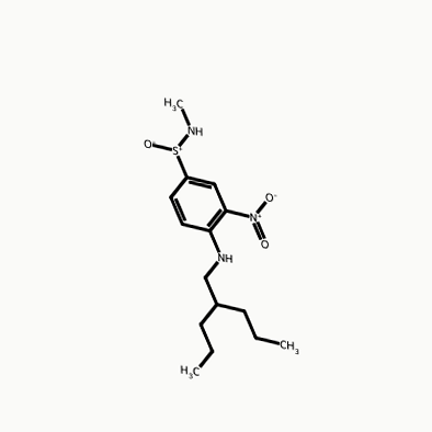 CCCC(CCC)CNc1ccc([S+]([O-])NC)cc1[N+](=O)[O-]